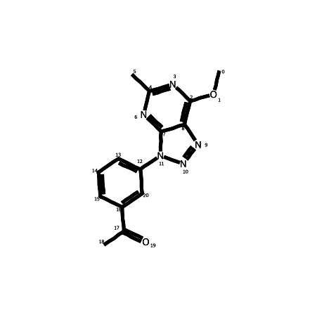 COc1nc(C)nc2c1nnn2-c1cccc(C(C)=O)c1